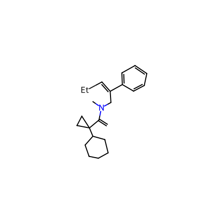 C=C(N(C)C/C(=C\CC)c1ccccc1)C1(C2CCCCC2)CC1